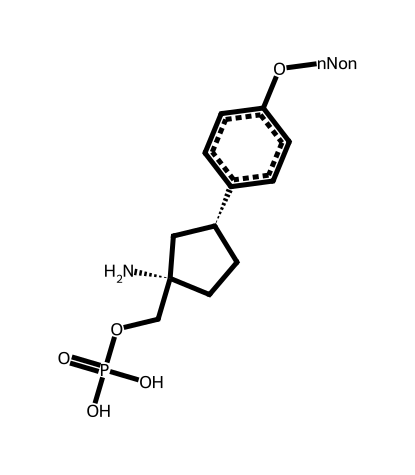 CCCCCCCCCOc1ccc([C@@H]2CC[C@@](N)(COP(=O)(O)O)C2)cc1